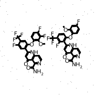 COc1c(Oc2cc(C(F)(F)F)c(F)cc2-c2cc(=O)c3c(C(N)=O)nccc3[nH]2)ccc(F)c1F.COc1cc(F)ccc1Oc1ccc(C(F)(F)F)c(F)c1-c1cc(=O)c2c(C(N)=O)nccc2[nH]1